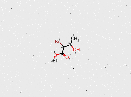 CCOC(=O)C(Br)C(C)O